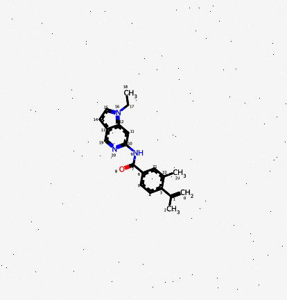 C=C(C)c1ccc(C(=O)Nc2cc3c(ccn3CC)cn2)cc1C